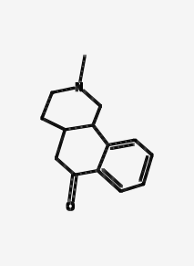 CN1CCC2CC(=O)c3ccccc3C2C1